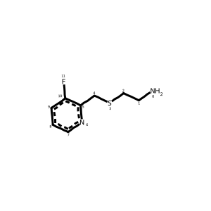 NCCSCc1ncccc1F